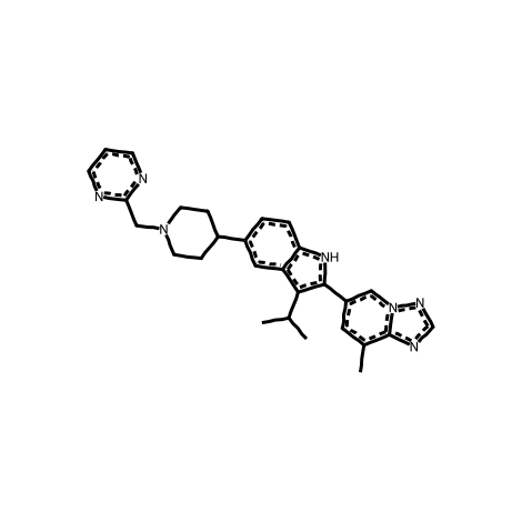 Cc1cc(-c2[nH]c3ccc(C4CCN(Cc5ncccn5)CC4)cc3c2C(C)C)cn2ncnc12